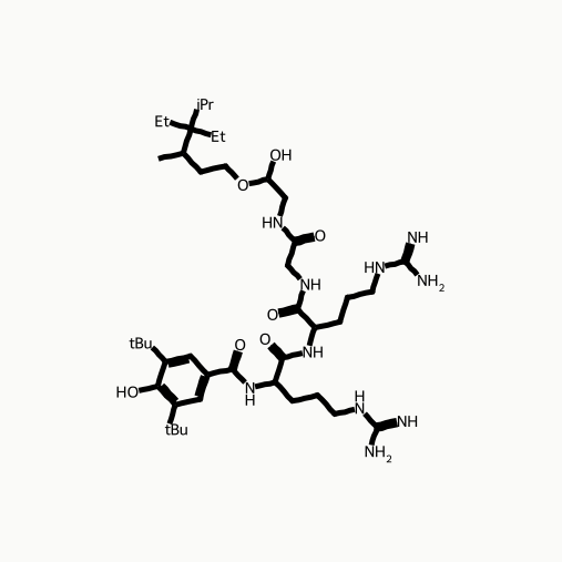 CCC(CC)(C(C)C)C(C)CCOC(O)CNC(=O)CNC(=O)C(CCCNC(=N)N)NC(=O)C(CCCNC(=N)N)NC(=O)c1cc(C(C)(C)C)c(O)c(C(C)(C)C)c1